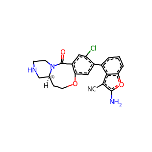 N#Cc1c(N)oc2cccc(-c3cc4c(cc3Cl)C(=O)N3CCNC[C@@H]3CCO4)c12